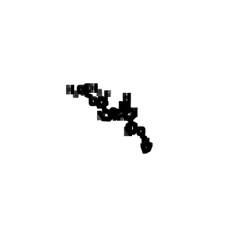 CN(C)CCOc1cc(F)cc(-c2nccc3[nH]c(-c4n[nH]c5ncc(-c6cncc(OCCN7CCCC7)c6)cc45)cc23)c1